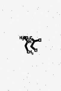 CCNC.O=C(O)C(Cl)CCl